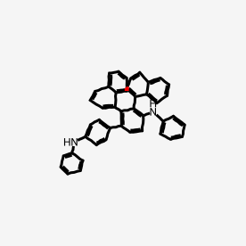 c1ccc(Nc2ccc(-c3ccc(Nc4ccccc4)c(-c4cccc5ccccc45)c3-c3cccc4ccccc34)cc2)cc1